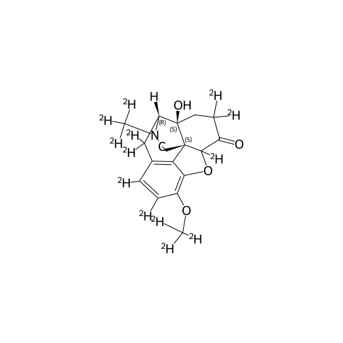 [2H]c1c([2H])c2c3c(c1OC([2H])([2H])[2H])OC1([2H])C(=O)C([2H])([2H])C[C@@]4(O)[C@H](N(C([2H])([2H])[2H])CC[C@]314)C2([2H])[2H]